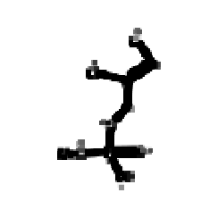 COP(=O)(O)OCC(Cl)=CCl